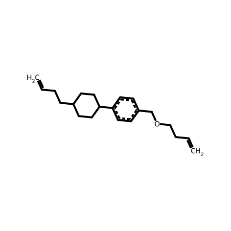 C=CCCOCc1ccc(C2CCC(CCC=C)CC2)cc1